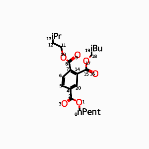 CCCCCOC(=O)c1ccc(C(=O)OCCC(C)C)c(C(=O)OCC(C)CC)c1